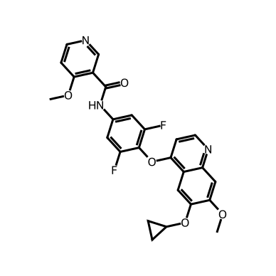 COc1cc2nccc(Oc3c(F)cc(NC(=O)c4cnccc4OC)cc3F)c2cc1OC1CC1